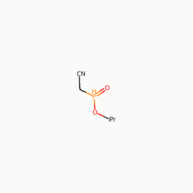 CC(C)O[PH](=O)CC#N